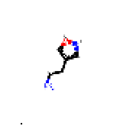 NCCc1cnoc1